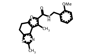 COc1ccccc1CNC(=O)c1oc2c(c1C)-c1nc(C)sc1CC2